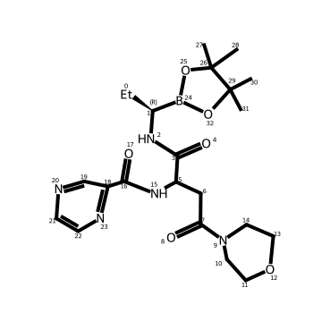 CC[C@H](NC(=O)C(CC(=O)N1CCOCC1)NC(=O)c1cnccn1)B1OC(C)(C)C(C)(C)O1